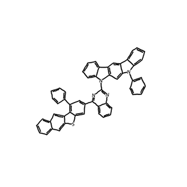 c1ccc(-c2cc(-c3nc(-n4c5ccccc5c5cc6c7ccccc7n(-c7ccccc7)c6cc54)nc4ccccc34)cc3sc4cc5ccccc5cc4c23)cc1